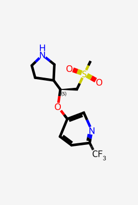 CS(=O)(=O)C[C@@H](Oc1ccc(C(F)(F)F)nc1)C1CCNC1